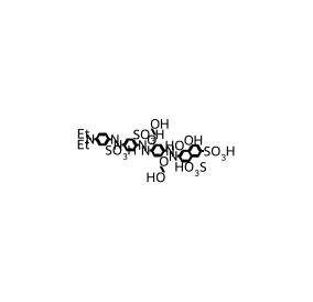 CCN(CC)c1ccc(/N=N/c2ccc(/N=N/c3cc(OCCO)c(/N=N/c4c(S(=O)(=O)O)cc5cc(S(=O)(=O)O)cc(O)c5c4O)cc3OCCO)c(S(=O)(=O)O)c2)c(S(=O)(=O)O)c1